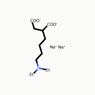 CCN(CC)CCCCC(CC(=O)[O-])C(=O)[O-].[Na+].[Na+]